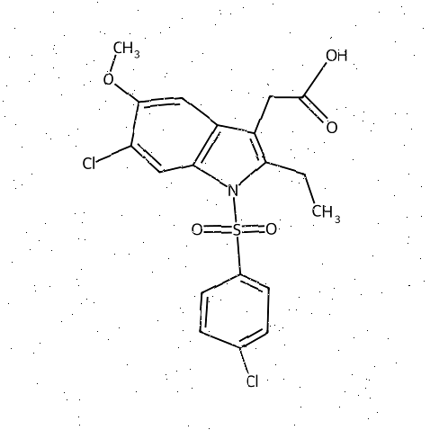 CCc1c(CC(=O)O)c2cc(OC)c(Cl)cc2n1S(=O)(=O)c1ccc(Cl)cc1